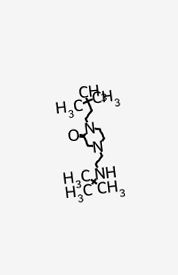 CC(C)(C)CCN1CCN(CCNC(C)(C)C)CC1=O